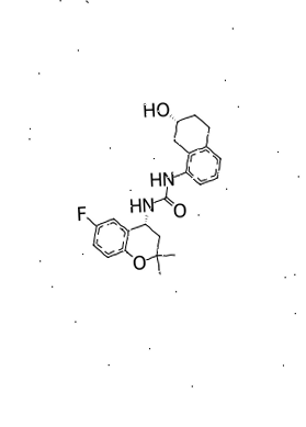 CC1(C)C[C@@H](NC(=O)Nc2cccc3c2C[C@H](O)CC3)c2cc(F)ccc2O1